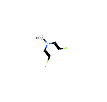 O=S(=O)(O)N(C=CF)C=CF